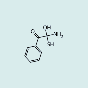 NC(O)(S)C(=O)c1ccccc1